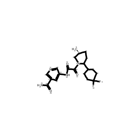 C[C@@H]1CCC(C2CCC(F)(F)CC2)N(C(=O)C(=O)Nc2cncc(C(N)=O)c2)C1